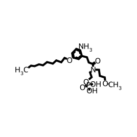 CCCCCCCCCCOc1cccc(CCC(=O)N(CCCOC)CCOP(=O)(O)O)c1.N